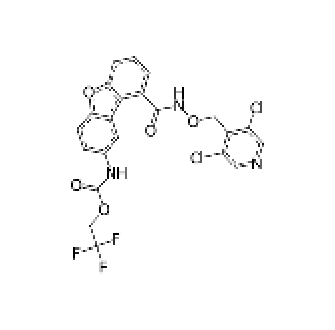 O=C(Nc1ccc2oc3cccc(C(=O)NOCc4c(Cl)cncc4Cl)c3c2c1)OCC(F)(F)F